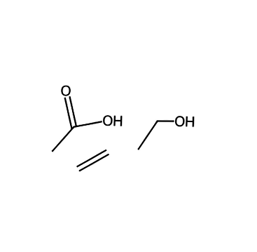 C=C.CC(=O)O.CCO